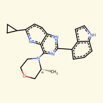 C[C@@H]1COCCN1c1nc(-c2cccc3[nH]ccc23)nc2ccc(C3CC3)nc12